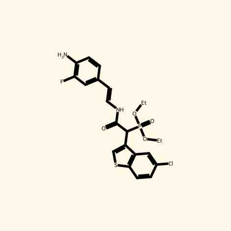 CCOP(=O)(OCC)C(C(=O)N/C=C/c1ccc(N)c(F)c1)c1csc2ccc(Cl)cc12